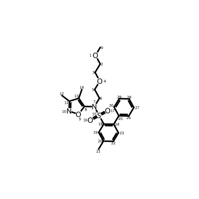 COCCOCCN(c1onc(C)c1C)S(=O)(=O)c1cc(C)ccc1-c1ccccc1